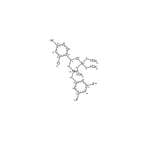 CC[Si](CC)(CC)OC(CNCc1cc(F)cc(F)c1)c1ccc(F)cc1Cl